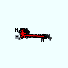 COc1cc2c(cc1-c1cccc(NC(=O)NCCOCCOCCOCCOCCOCCOCCNC(=O)OC(C)(C)C)c1)-c1c(c(C(=O)N(C)C(C)(C)C)nn1-c1cc(Cl)cc(Cl)c1)CO2